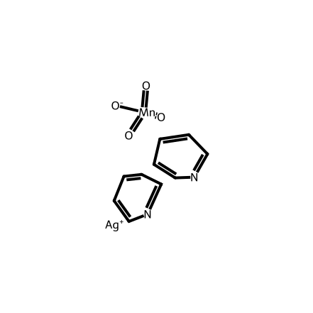 [Ag+].[O]=[Mn](=[O])(=[O])[O-].c1ccncc1.c1ccncc1